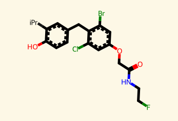 CC(C)c1cc(Cc2c(Cl)cc(OCC(=O)NCCF)cc2Br)ccc1O